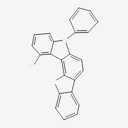 Brc1cccc2c1c1c3oc4ccccc4c3ccc1n2-c1ccccc1